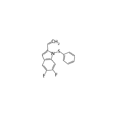 C=Cc1cc2cc(F)c(F)cc2n1Sc1ccccc1